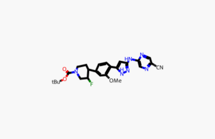 COc1cc(C2CCN(C(=O)OC(C)(C)C)CC2F)ccc1-c1cc(Nc2cnc(C#N)cn2)n[nH]1